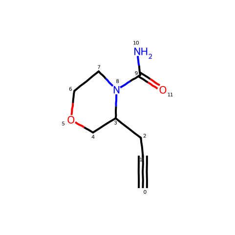 C#CCC1COCCN1C(N)=O